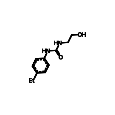 CCc1ccc(NC(=O)NCCO)cc1